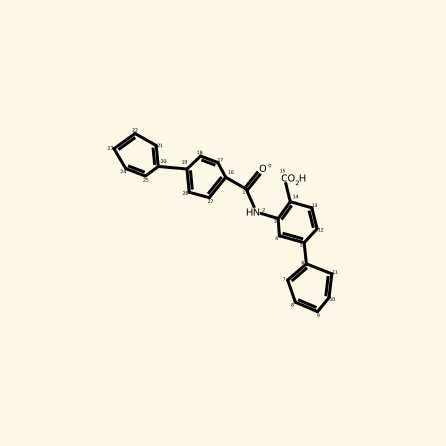 O=C(Nc1cc(-c2ccccc2)ccc1C(=O)O)c1ccc(-c2ccccc2)cc1